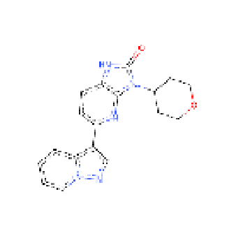 O=c1[nH]c2ccc(-c3cnn4ccccc34)nc2n1C1CCOCC1